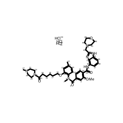 COc1cc(C(=O)N(C)c2ccc(C)cc2OCCCCCC(=O)N2CCN(C)CC2)ccc1C(=O)Nc1cccc2[nH]c(CN3CCOCC3)nc12.Cl.Cl.Cl